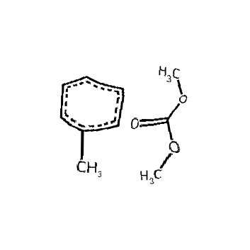 COC(=O)OC.Cc1ccccc1